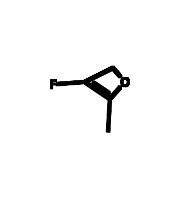 CC1=C(F)CO1